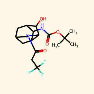 CC(C)(C)OC(=O)NC1C2CC3CC1C(C2O)N(C(=O)CC(F)(F)F)C3